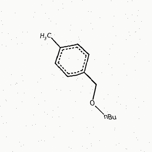 CCCCOCc1ccc(C)cc1